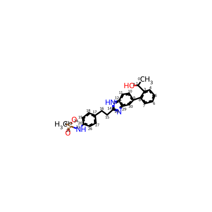 CC(O)c1ccccc1-c1ccc2[nH]c(CCc3ccc(NS(C)(=O)=O)cc3)nc2c1